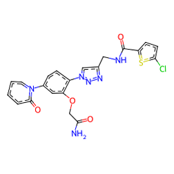 NC(=O)COc1cc(-n2ccccc2=O)ccc1-n1cc(CNC(=O)c2ccc(Cl)s2)nn1